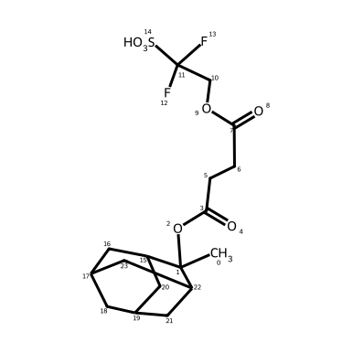 CC1(OC(=O)CCC(=O)OCC(F)(F)S(=O)(=O)O)C2CC3CC(C2)CC1C3